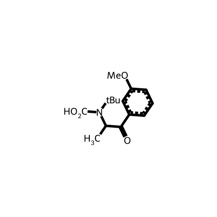 COc1cccc(C(=O)C(C)N(C(=O)O)C(C)(C)C)c1